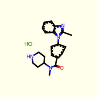 Cc1nc2ccccc2n1-c1ccc(C(=O)N(C)C2CCNCC2)cc1.Cl